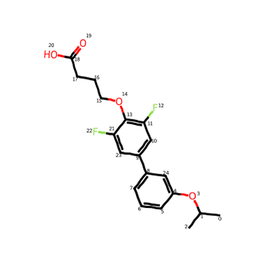 CC(C)Oc1cccc(-c2cc(F)c(OCCCC(=O)O)c(F)c2)c1